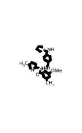 COc1cc(C)cc(C(=O)Nc2ccc(C)cn2)c1NCc1ccc(C(=N)N2CCCC2)cc1